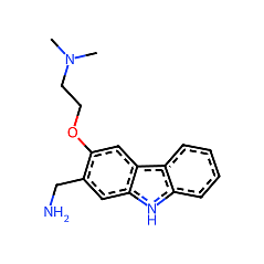 CN(C)CCOc1cc2c(cc1CN)[nH]c1ccccc12